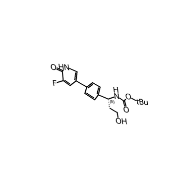 CC(C)(C)OC(=O)N[C@H](CCO)c1ccc(-c2c[nH]c(=O)c(F)c2)cc1